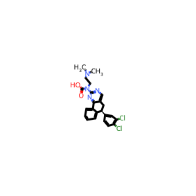 CN(C)CCN(C(=O)O)c1ncc2c(n1)-c1ccccc1[C@H](c1ccc(Cl)c(Cl)c1)C2